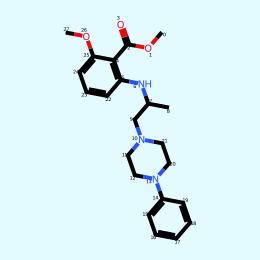 COC(=O)c1c(NC(C)CN2CCN(c3ccccc3)CC2)cccc1OC